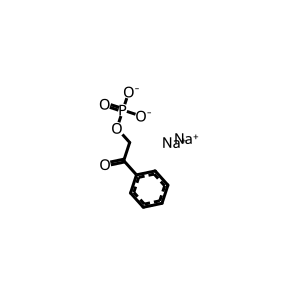 O=C(COP(=O)([O-])[O-])c1ccccc1.[Na+].[Na+]